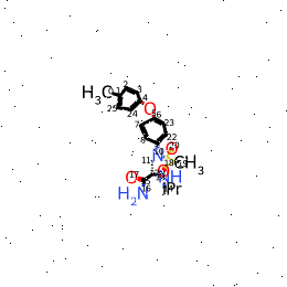 Cc1ccc(Oc2ccc(N(C[C@H](NC(C)C)C(N)=O)S(C)(=O)=O)cc2)cc1